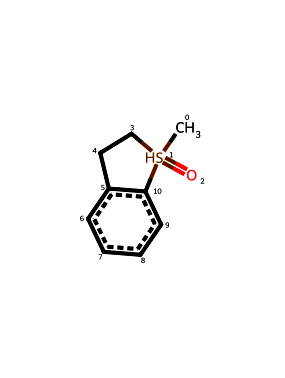 C[SH]1(=O)CCc2ccccc21